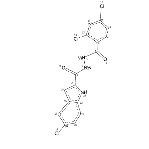 O=C(NNC(=O)c1ccc(Cl)nc1Cl)c1cc2cc(Cl)ccc2[nH]1